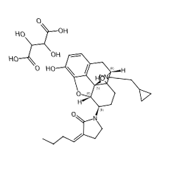 CCCC=C1CCN([C@@H]2CCC3(O)[C@H]4Cc5ccc(O)c6c5[C@@]3(CCN4CC3CC3)[C@H]2O6)C1=O.O=C(O)C(O)C(O)C(=O)O